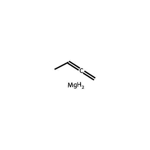 C=C=CC.[MgH2]